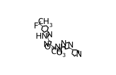 CC(F)c1ccc2nc(-c3cc([C@H](C)NC(=O)c4cc(-c5ccncc5)ncn4)on3)[nH]c2c1